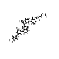 CCCC(=O)Nc1cncc(-c2cnc3[nH]nc(-c4nc5c(-c6cc(F)cc(CNS(C)(=O)=O)c6)cccc5[nH]4)c3c2)c1